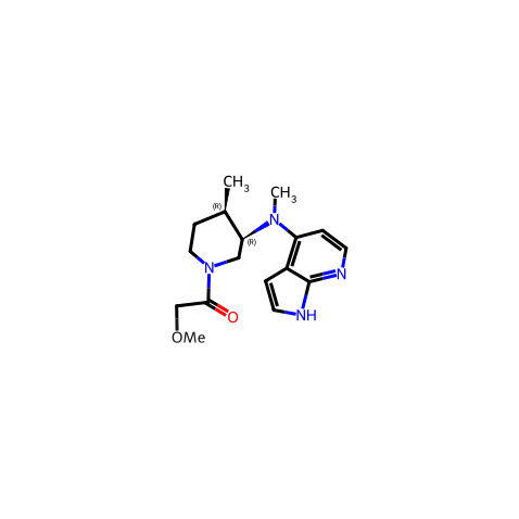 COCC(=O)N1CC[C@@H](C)[C@@H](N(C)c2ccnc3[nH]ccc23)C1